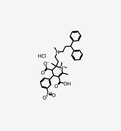 CC1=C(C(=O)O)C(c2cccc([N+](=O)[O-])c2)C(C(=O)[O-])C(C)(CCN(C)CCC(c2ccccc2)c2ccccc2)[N+]1(C)C.Cl